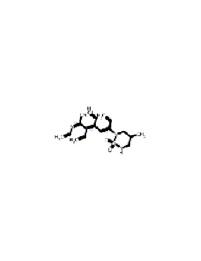 C=C\N=C(C#N)/C(C=C)=C(C=C)/C=C(\C=C)N1CC(C)CNS1(=O)=O